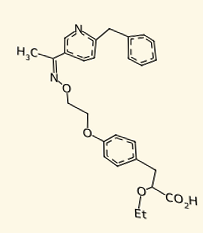 CCOC(Cc1ccc(OCCON=C(C)c2ccc(Cc3ccccc3)nc2)cc1)C(=O)O